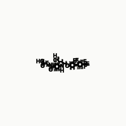 CCCCC(COc1ccc(-c2ccc(C(F)(F)F)cc2F)c(F)c1)Nc1ccc(C(=O)NCCC(=O)O)cc1